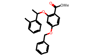 COC(=O)c1ccc(OCc2ccccc2)cc1OC(C)c1ccccc1C